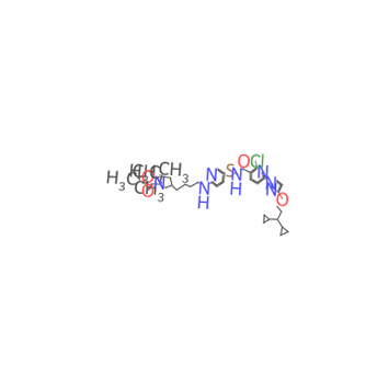 CC(C)(C)OC(=O)N1CC(CCCCNc2ccc(SNC(=O)c3ccc(-n4ccc(OCCC(C5CC5)C5CC5)n4)nc3Cl)cn2)CC1(C)C